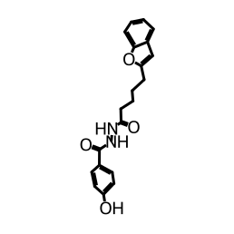 O=C(CCCCc1cc2ccccc2o1)NNC(=O)c1ccc(O)cc1